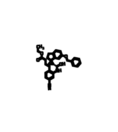 CCOC(=O)CCCc1ccc(C#N)cc1NC(O)[C@@H]1C[C@]12CCc1ccc(OCc3ccccc3)cc12